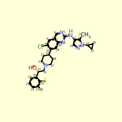 Cc1c(Nc2ncc3cc(Cl)c(C4CCN(C[C@@H](O)c5cccc(F)c5F)CC4)cc3n2)cnn1C1CC1